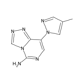 Cc1cnn(-c2cnc(N)n3cnnc23)c1